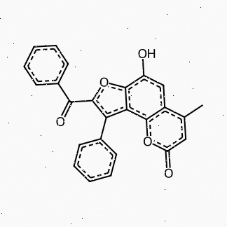 Cc1cc(=O)oc2c1cc(O)c1oc(C(=O)c3ccccc3)c(-c3ccccc3)c12